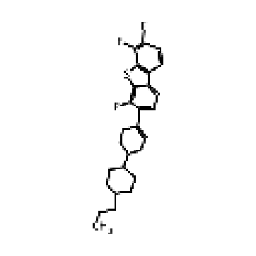 CCCC1CCC(C2CC=C(c3ccc4c(sc5c(F)c(F)ccc54)c3F)CC2)CC1